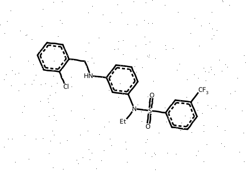 CCN(c1cccc(NCc2ccccc2Cl)c1)S(=O)(=O)c1cccc(C(F)(F)F)c1